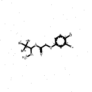 COC(OC(=O)COc1ccc(Cl)c(F)c1)C(Br)(Br)Br